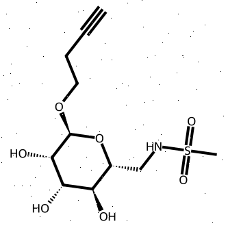 C#CCCO[C@H]1O[C@H](CNS(C)(=O)=O)[C@@H](O)[C@H](O)[C@@H]1O